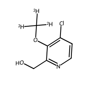 [2H]C([2H])([2H])Oc1c(Cl)ccnc1CO